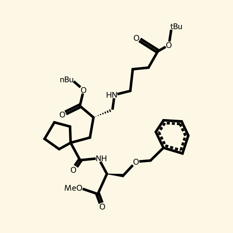 CCCCOC(=O)[C@H](CNCCCC(=O)OC(C)(C)C)CC1(C(=O)N[C@@H](COCc2ccccc2)C(=O)OC)CCCC1